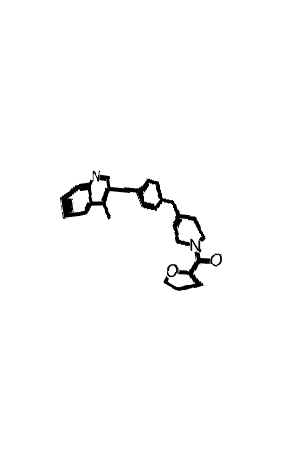 Cc1c(-c2ccc(CC3=CCN(C(=O)C4CCCO4)CC3)cc2)cnc2ccccc12